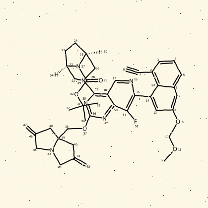 C#Cc1cccc2cc(OCOC)cc(-c3ncc4c(N5C[C@H]6CC[C@@H](C5)N6C(=O)OC(C)(C)C)nc(OCC56CC(=C)CN5CC(=C)C6)nc4c3F)c12